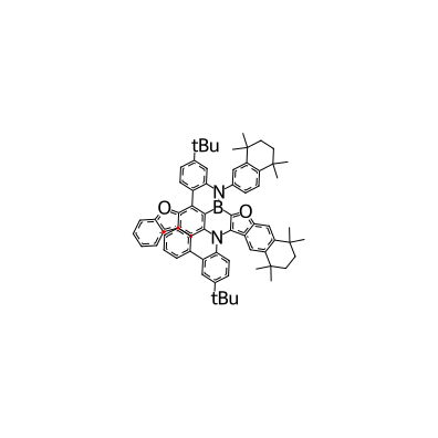 CC(C)(C)c1ccc(N2c3cc4c(oc5ccccc54)c4c3B(c3oc5cc6c(cc5c32)C(C)(C)CCC6(C)C)N(c2ccc3c(c2)C(C)(C)CCC3(C)C)c2cc(C(C)(C)C)ccc2-4)c(-c2ccccc2)c1